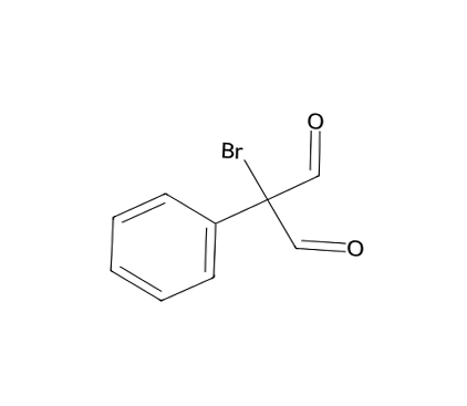 O=CC(Br)(C=O)c1ccccc1